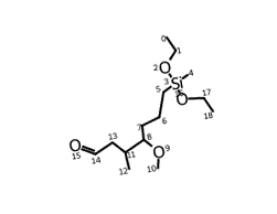 CCO[Si](C)(CCCC(OC)C(C)CC=O)OCC